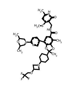 CSc1cc(C)[nH]c(=O)c1CNC(=O)c1cc(-c2ccc(N3CC(C)OC(C)C3)nc2)c2c(c1C)OC(C)(C1CCC(N3CC(OCC(F)(F)F)C3)CC1)O2